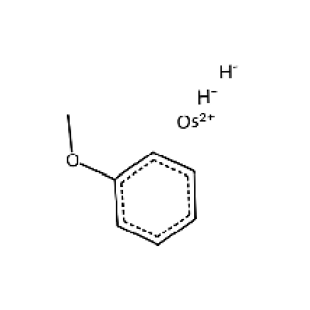 COc1ccccc1.[H-].[H-].[Os+2]